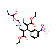 CCOC(=O)C1=C[N+](C)(COC(=O)CC)C(C)=C(C(=O)OCC)C1c1cccc([N+](=O)[O-])c1